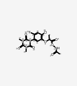 CC(=O)NOC(=O)C(C)Oc1cc(-n2c(=O)n(C)c(=S)n(C)c2=O)c(F)cc1Cl